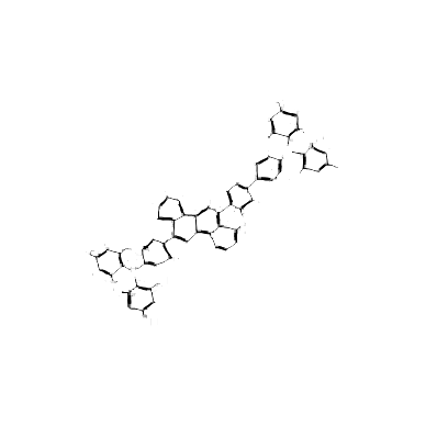 Cc1cc(C)c(B(c2ccc(-c3ccc4c(c3)Sc3cccc5c3c-4cc3c4ccccc4c(-c4ccc(B(c6c(C)cc(C)cc6C)c6c(C)cc(C)cc6C)cc4)cc53)cc2)c2c(C)cc(C)cc2C)c(C)c1